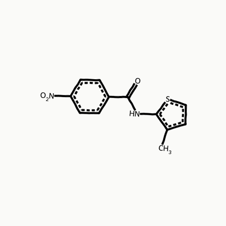 Cc1ccsc1NC(=O)c1ccc([N+](=O)[O-])cc1